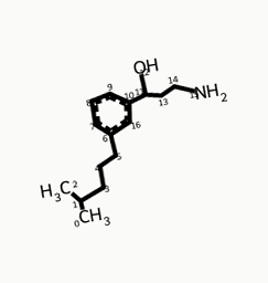 CC(C)CCCc1cccc(C(O)CCN)c1